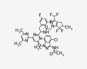 Cc1cc(C)nc(-c2cc(=O)n(-c3ccc(Cl)c4c(N[S+](C)[O-])nn(C)c34)c(C(Cc3cc(F)cc(F)c3)NC(=O)Cn3nc(C(F)F)c4c3C(F)(F)C(C)C4)n2)n1